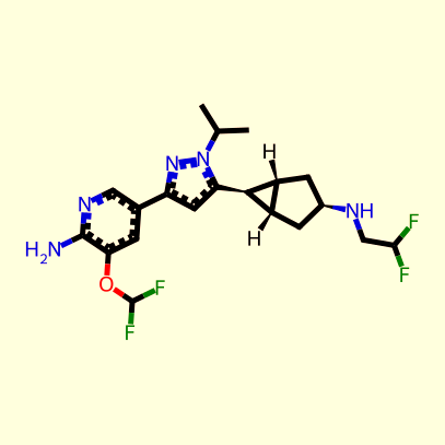 CC(C)n1nc(-c2cnc(N)c(OC(F)F)c2)cc1[C@H]1[C@@H]2C[C@@H](NCC(F)F)C[C@@H]21